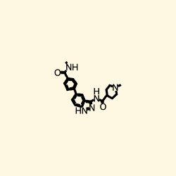 CNC(=O)c1ccc(-c2ccc3[nH]nc(NC(=O)C4CCN(C)CC4)c3c2)cc1